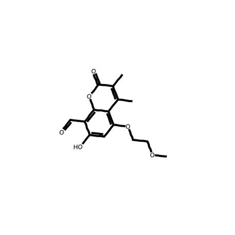 COCCOc1cc(O)c(C=O)c2oc(=O)c(C)c(C)c12